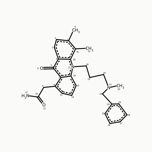 Cc1ccc2c(=O)c3c(CC(N)=O)cccc3n(CCCN(C)Cc3ccccc3)c2c1C